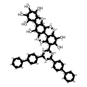 Oc1c(O)c2ooc3c4c(ooc(c1-c1nc(-c5ccc(-c6ccccc6)cc5)nc(-c5ccc(-c6ccccc6)cc5)n1)c2-4)c(O)c1c3oc2c(O)c(O)c(O)c(O)c21